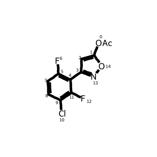 CC(=O)Oc1cc(-c2c(F)ccc(Cl)c2F)no1